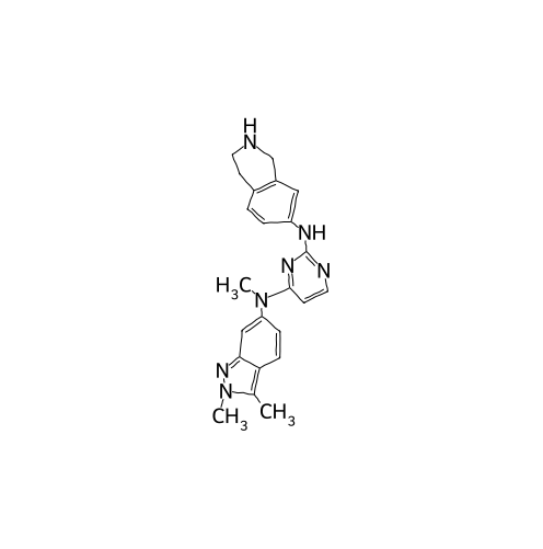 Cc1c2ccc(N(C)c3ccnc(Nc4ccc5c(c4)CNCC5)n3)cc2nn1C